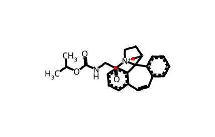 CC(C)OC(=O)NCC(=O)[N+]12CCC(CC1)C21c2ccccc2C=Cc2ccccc21